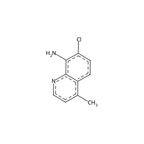 Cc1ccnc2c(N)c(Cl)ccc12